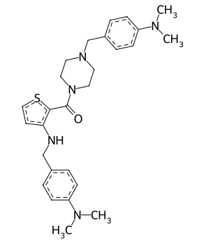 CN(C)c1ccc(CNc2ccsc2C(=O)N2CCN(Cc3ccc(N(C)C)cc3)CC2)cc1